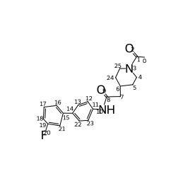 CC(=O)N1CCC(CC(=O)Nc2ccc(-c3cccc(F)c3)cc2)CC1